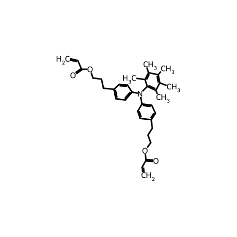 C=CC(=O)OCCCc1ccc(N(c2ccc(CCCOC(=O)C=C)cc2)c2c(C)c(C)c(C)c(C)c2C)cc1